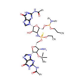 CC(C)C(=O)Nc1nc2c(ncn2[C@@H]2O[C@H](COP(=S)(N[C@H]3[C@@H](O)[C@H](n4cnc5c(=O)[nH]c(NC(=O)C(C)C)nc54)O[C@@H]3COP(OCCC#N)N(C(C)C)C(C)C)OCCC#N)[C@@H](N)C2O[Si](C)(C)C(C)(C)C)c(=O)[nH]1